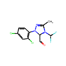 CC1=NN(c2ccc(Cl)cc2Cl)C(C=O)N1C(F)F